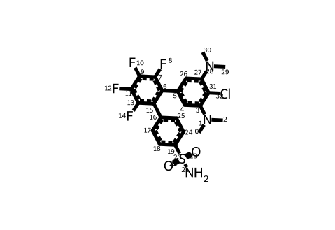 CN(C)c1cc(-c2c(F)c(F)c(F)c(F)c2-c2ccc(S(N)(=O)=O)cc2)cc(N(C)C)c1Cl